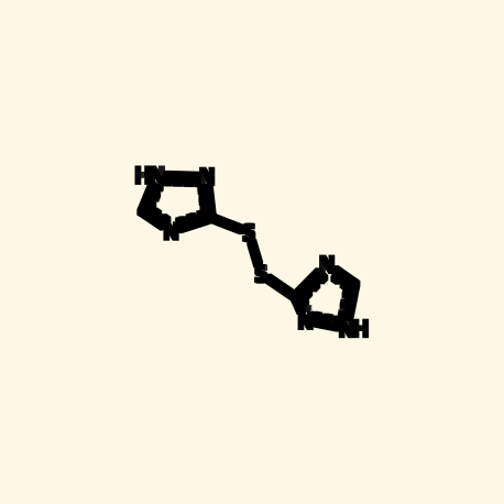 c1nc(SSc2nc[nH]n2)n[nH]1